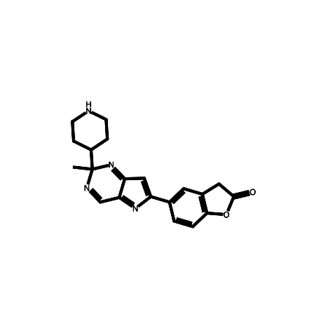 CC1(C2CCNCC2)N=CC2=NC(c3ccc4c(c3)CC(=O)O4)=CC2=N1